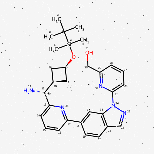 CC(C)(C)[Si](C)(C)O[C@H]1C[C@@H]([C@@H](N)c2cccc(-c3ccc4cnn(-c5cccc(CO)n5)c4c3)n2)C1